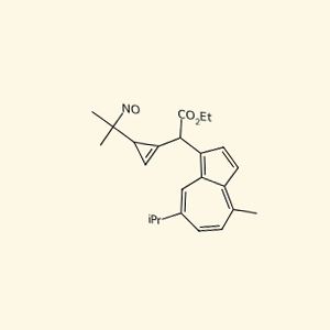 CCOC(=O)C(C1=CC1C(C)(C)N=O)c1ccc2c(C)ccc(C(C)C)cc1-2